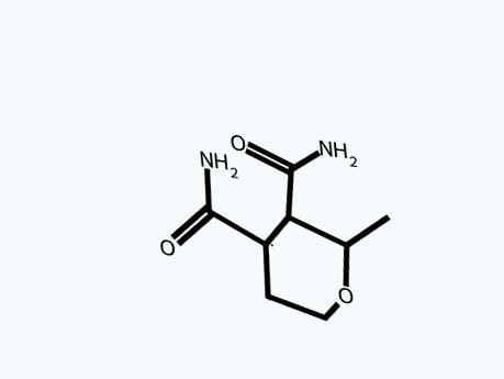 CC1OCC[C](C(N)=O)C1C(N)=O